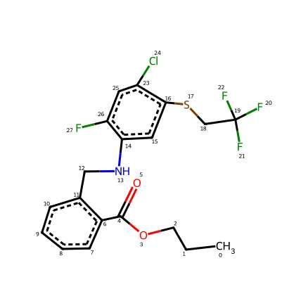 CCCOC(=O)c1ccccc1CNc1cc(SCC(F)(F)F)c(Cl)cc1F